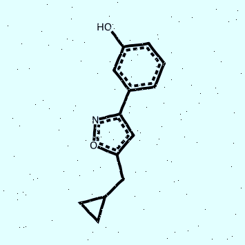 Oc1cccc(-c2cc(CC3CC3)on2)c1